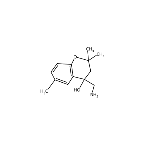 Cc1ccc2c(c1)C(O)(CN)CC(C)(C)O2